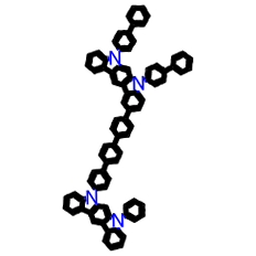 c1ccc(-c2ccc(-n3c4ccccc4c4cc5c6cc(-c7ccc(-c8ccc(-c9ccc(-n%10c%11ccccc%11c%11cc%12c%13ccccc%13n(-c%13ccccc%13)c%12cc%11%10)cc9)cc8)cc7)ccc6n(-c6ccc(-c7ccccc7)cc6)c5cc43)cc2)cc1